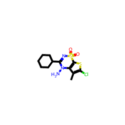 Cc1c(Cl)sc2c1N(N)C(C1CCCCC1)=NS2(=O)=O